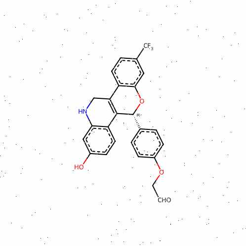 O=CCOc1ccc([C@H]2Oc3cc(C(F)(F)F)ccc3C3=C2c2ccc(O)cc2NC3)cc1